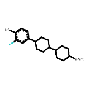 CCCCCC1CCC(C2CC[C](c3ccc(C#N)c(F)c3)CC2)CC1